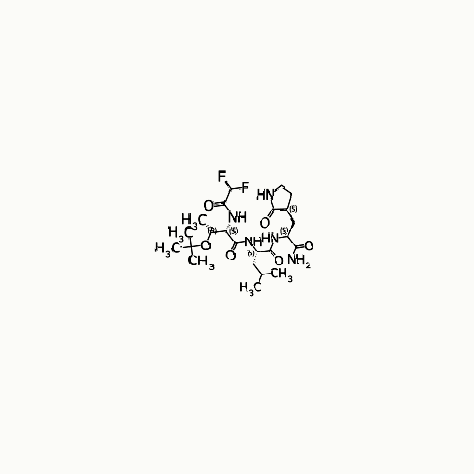 CC(C)C[C@H](NC(=O)[C@@H](NC(=O)C(F)F)[C@@H](C)OC(C)(C)C)C(=O)N[C@@H](C[C@@H]1CCNC1=O)C(N)=O